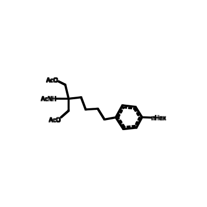 CCCCCCc1ccc(CCCCC(COC(C)=O)(COC(C)=O)NC(C)=O)cc1